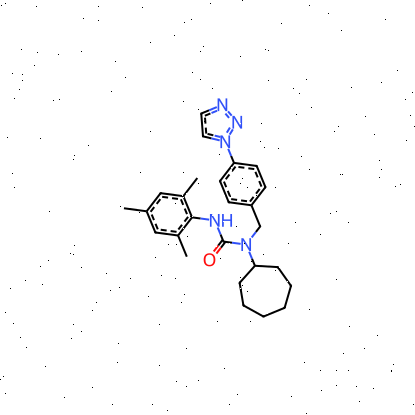 Cc1cc(C)c(NC(=O)N(Cc2ccc(-n3ccnn3)cc2)C2CCCCCC2)c(C)c1